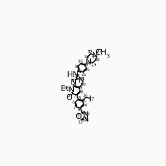 CCn1c(=O)c(-c2ccc(-c3nnco3)cc2CI)cc2cnc(Nc3ccc(N4CCN(C)CC4)cc3)nc21